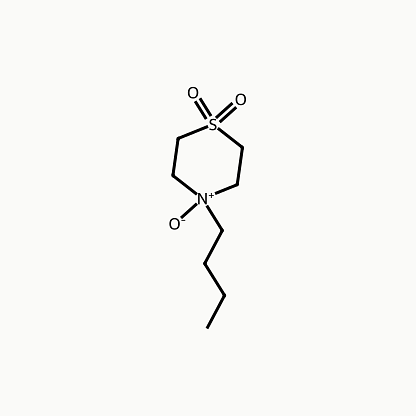 CCCC[N+]1([O-])CCS(=O)(=O)CC1